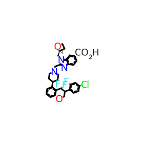 O=C(O)c1ccc2nc(CN3CCC(c4cccc5c4C(F)(F)C(c4ccc(Cl)cc4F)CO5)CC3)n(C[C@@H]3CCO3)c2c1